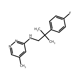 Cc1cnnc(NCC(C)(C)c2ccc(F)cc2)c1